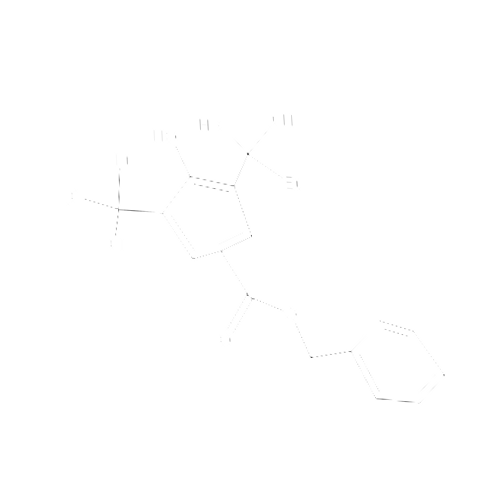 CCC(C)(C)c1cc(C(=O)OCc2ccccc2)cc(C(C)(C)CC)c1O